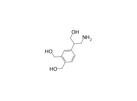 NCC(CO)c1ccc(CO)c(CO)c1